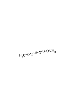 CCCOCCOCCOCCOCCOCCOCC